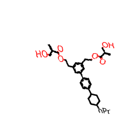 C=C(CO)C(=O)OCCc1cc(CCOC(=O)C(=C)CO)cc(-c2ccc(C3CCC(CCC)CC3)cc2)c1